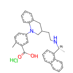 Cc1ccc(N2CC(CCN[C@H](C)c3cccc4ccccc34)Cc3ccccc32)cc1C(=O)O.Cl